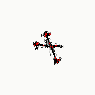 CC(=O)NC1C(OCCCCC(=O)NCCCNC(=O)CCNc2nc(N3CCN(C(=O)CCCC(=O)O)CC3)nc(N(CCC(=O)NCCCNC(=O)CCCCOC3OC(COC(C)=O)C(OC(C)=O)C(OC(C)=O)C3NC(C)=O)COCCC(=O)NCCCNC(=O)CCCCOC3OC(COC(C)=O)C(OC(C)=O)C(OC(C)=O)C3NC(C)=O)n2)OC(COC(C)=O)C(OC(C)=O)C1OC(C)=O